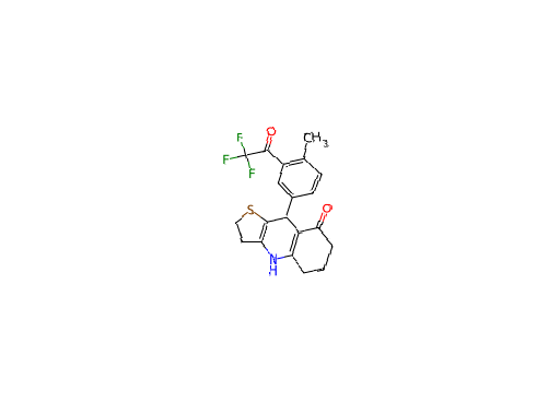 Cc1ccc(C2C3=C(CCS3)NC3=C2C(=O)CCC3)cc1C(=O)C(F)(F)F